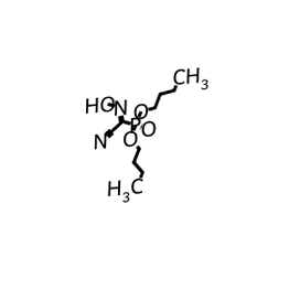 CCCCOP(=O)(OCCCC)/C(C#N)=N/O